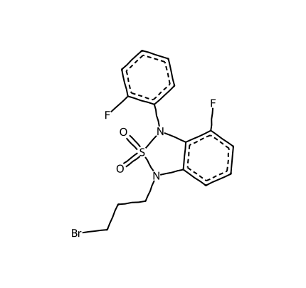 O=S1(=O)N(CCCBr)c2cccc(F)c2N1c1ccccc1F